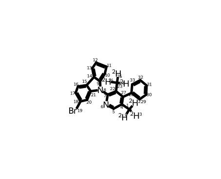 [2H]C([2H])([2H])c1cnc(-n2c3ccccc3c3ccc(Br)cc32)c(C([2H])([2H])[2H])c1-c1ccccc1